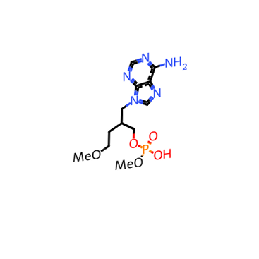 COCCC(COP(=O)(O)OC)Cn1cnc2c(N)ncnc21